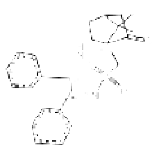 CC1(C)C2CC[C@@]1(CS(=O)(=O)N[C@H](c1ccccc1)[C@@H](N)c1ccccc1)C(=O)C2